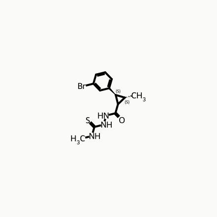 CNC(=S)NNC(=O)C1[C@@H](C)[C@@H]1c1cccc(Br)c1